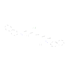 Br.CC1=C(C=CC=CC=CC=C2C(C)c3c(ccc4ccccc34)[N+]2(C)C)[N+](C)(C)c2ccc3ccccc3c21